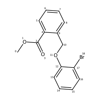 COC(=O)c1ccccc1COc1ccccc1Br